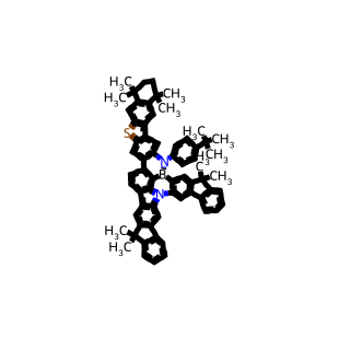 CC(C)(C)c1ccc(N2B3c4cc5c(cc4-n4c6cc7c(cc6c6ccc(c3c64)-c3cc4sc6cc8c(cc6c4cc32)C(C)(C)CCC8(C)C)C(C)(C)c2ccccc2-7)-c2ccccc2C5(C)C)cc1